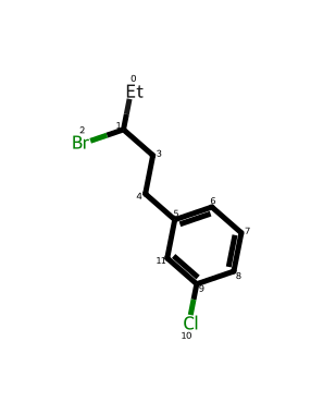 CCC(Br)CCc1cccc(Cl)c1